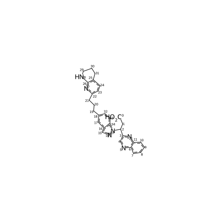 O=C(O)CC(c1cnc2ccccc2n1)n1ncc2cc(CCCc3ccc4c(n3)NCCC4)ccc21